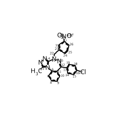 Cc1nnc2n1-c1ccccc1C(c1ccc(Cl)cc1)=NN2Cc1cccc([N+](=O)[O-])c1